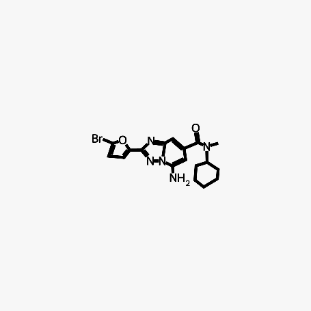 CN(C(=O)c1cc(N)n2nc(-c3ccc(Br)o3)nc2c1)C1CCCCC1